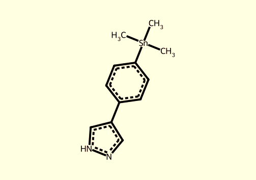 [CH3][Sn]([CH3])([CH3])[c]1ccc(-c2cn[nH]c2)cc1